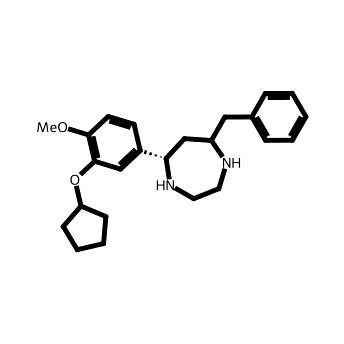 COc1ccc([C@@H]2CC(Cc3ccccc3)NCCN2)cc1OC1CCCC1